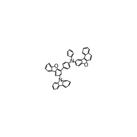 c1ccc(N(c2ccc(-c3cc(-n4c5ccccc5c5ccccc54)cc4c3oc3ccccc34)cc2)c2ccc3oc4ccc5ccccc5c4c3c2)cc1